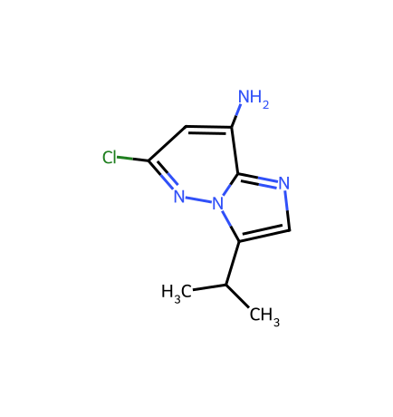 CC(C)c1cnc2c(N)cc(Cl)nn12